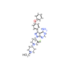 Nc1ncnc2c1c(-c1ccc(Oc3ccccc3)cc1)nn2[C@H]1CCN(C2CCN(C(=O)O)CC2)C[C@@H]1F